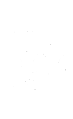 COc1c(F)c(F)cc2c(=O)c(C(=O)O)cn([C@@H]3C[C@@H]3F)c12.FBF